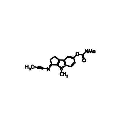 CC#CN=C1CCc2c1n(C)c1ccc(OC(=O)NC)cc21